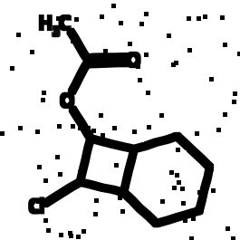 CC(=O)OC1C(Cl)C2CCCCC21